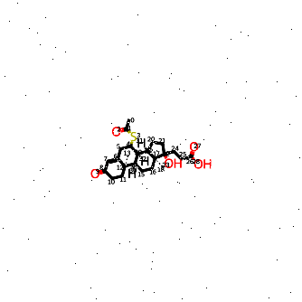 CC(=O)SC1CC2=CC(=O)CC[C@]2(C)[C@@H]2CC[C@@]3(C)[C@@H](CCC3(O)CCC(=O)O)[C@H]12